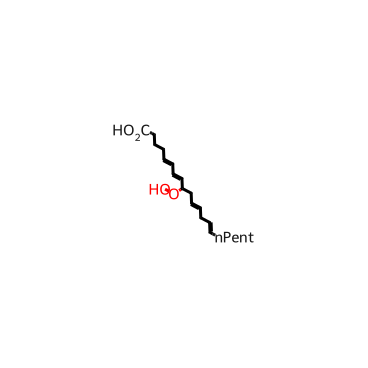 CCCCC/C=C/C/C=C/CC(/C=C/C=C/CCCC(=O)O)OO